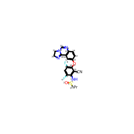 CCC[S+]([O-])Nc1c(F)cc(F)c(Oc2ccc3c(c2)C2=NCCN2C=N3)c1C#N